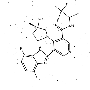 Cc1ccc(F)c2[nH]c(-c3cncc(C(=O)NC(C)C(F)(F)F)c3N3CC[C@](C)(N)C3)nc12